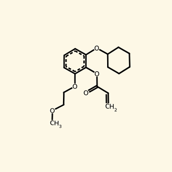 C=CC(=O)Oc1c(OCCOC)cccc1OC1CCCCC1